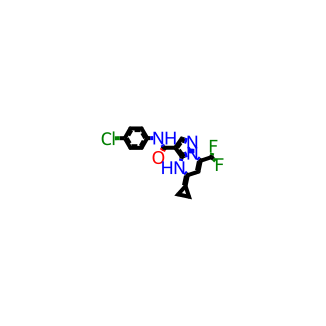 O=C(Nc1ccc(Cl)cc1)c1cnn2c1NC(=C1CC1)C=C2C(F)F